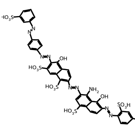 Nc1c(N=Nc2ccc3c(O)c(N=Nc4ccc(N=Nc5cccc(S(=O)(=O)O)c5)cc4)c(S(=O)(=O)O)cc3c2S(=O)(=O)O)cc(S(=O)(=O)O)c2ccc(N=Nc3ccc([N+](=O)[O-])cc3S(=O)(=O)O)c(O)c12